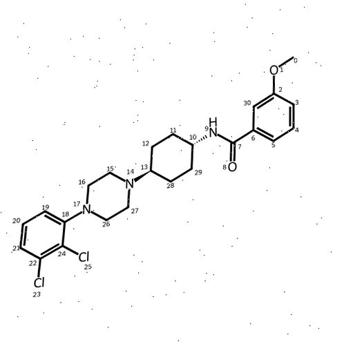 COc1cccc(C(=O)N[C@H]2CC[C@H](N3CCN(c4cccc(Cl)c4Cl)CC3)CC2)c1